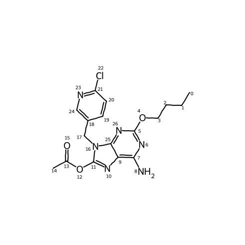 CCCCOc1nc(N)c2nc(OC(C)=O)n(Cc3ccc(Cl)nc3)c2n1